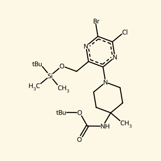 CC1(NC(=O)OC(C)(C)C)CCN(c2nc(Cl)c(Br)nc2CO[Si](C)(C)C(C)(C)C)CC1